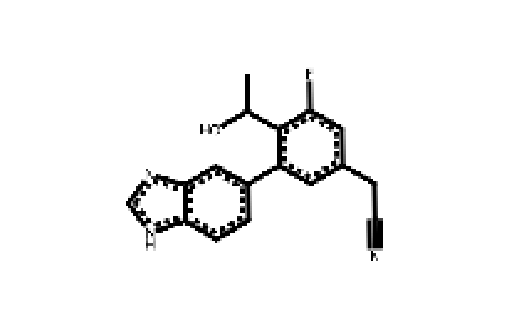 CC(O)c1c(F)cc(CC#N)cc1-c1ccc2[nH]cnc2c1